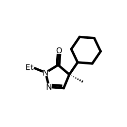 CCN1N=C[C@](C)(C2CCCCC2)C1=O